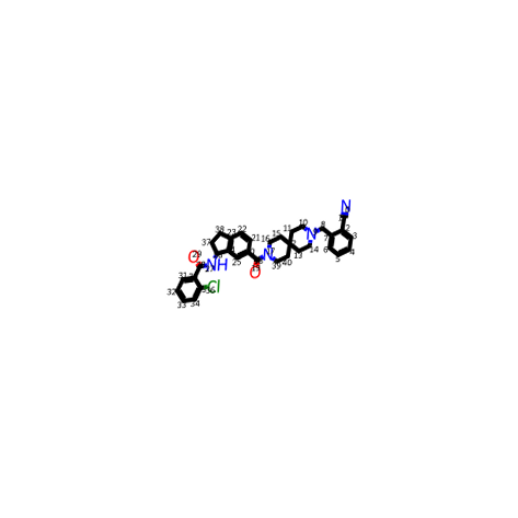 N#Cc1ccccc1CN1CCC2(CC1)CCN(C(=O)c1ccc3c(c1)C(NC(=O)c1ccccc1Cl)CC3)CC2